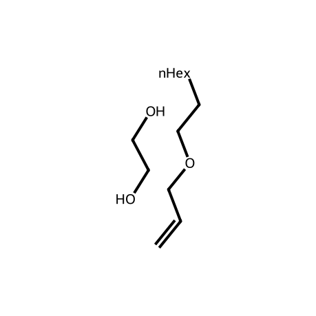 C=CCOCCCCCCCC.OCCO